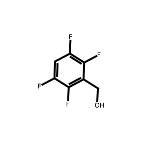 O[CH]c1c(F)c(F)cc(F)c1F